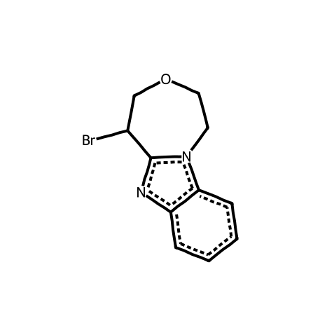 BrC1COCCn2c1nc1ccccc12